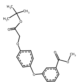 COC(=O)c1cccc(Oc2ccc(OCC(=O)OC(C)(C)C)cc2)c1